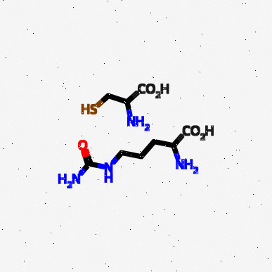 NC(=O)NCCCC(N)C(=O)O.NC(CS)C(=O)O